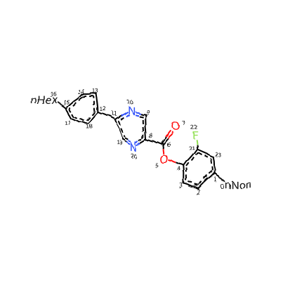 CCCCCCCCCc1ccc(OC(=O)c2cnc(-c3ccc(CCCCCC)cc3)cn2)c(F)c1